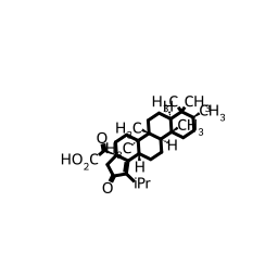 CC(C)C1=C2[C@H]3CC[C@@H]4[C@@]5(C)CC[C@H](C)C(C)(C)[C@@H]5CC[C@@]4(C)[C@]3(C)CC[C@@]2(C(=O)C(=O)O)CC1=O